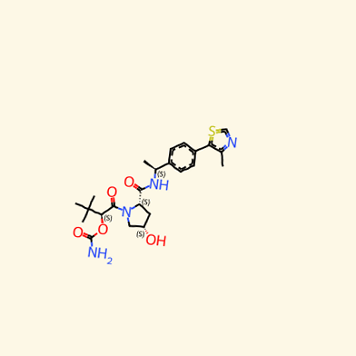 Cc1ncsc1-c1ccc([C@H](C)NC(=O)[C@@H]2C[C@H](O)CN2C(=O)[C@@H](OC(N)=O)C(C)(C)C)cc1